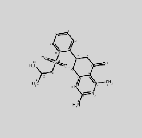 Cc1nc(N)nc2c1C(=O)CC(c1ccccc1S(=O)(=O)CC(C)C)C2